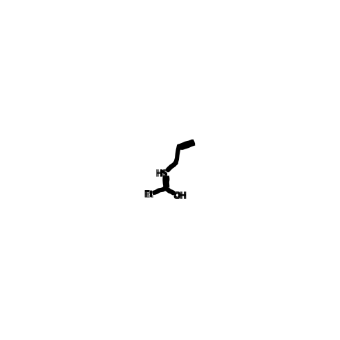 C=CC[SH]=C(O)CC